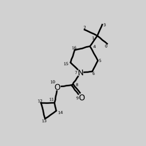 CC(C)(C)C1CCN(C(=O)OC2CCC2)CC1